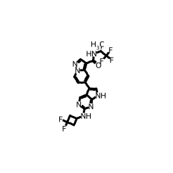 C[C@@H](NC(=O)c1cnn2ccc(-c3c[nH]c4nc(NC5CC(F)(F)C5)ncc34)cc12)C(F)(F)F